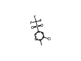 Cc1ncc(S(=O)(=O)C(F)(F)F)cc1Cl